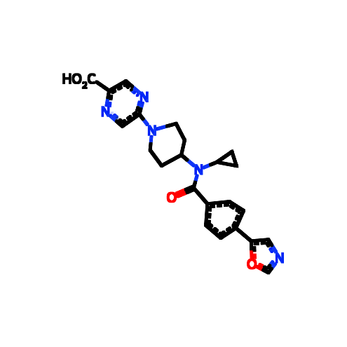 O=C(O)c1cnc(N2CCC(N(C(=O)c3ccc(-c4cnco4)cc3)C3CC3)CC2)cn1